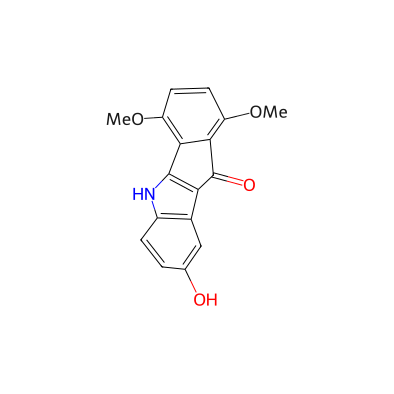 COc1ccc(OC)c2c1C(=O)c1c-2[nH]c2ccc(O)cc12